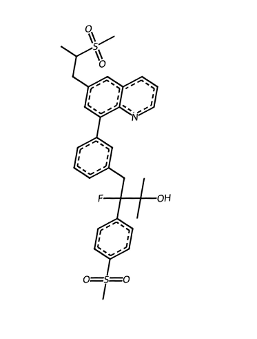 CC(Cc1cc(-c2cccc(CC(F)(c3ccc(S(C)(=O)=O)cc3)C(C)(C)O)c2)c2ncccc2c1)S(C)(=O)=O